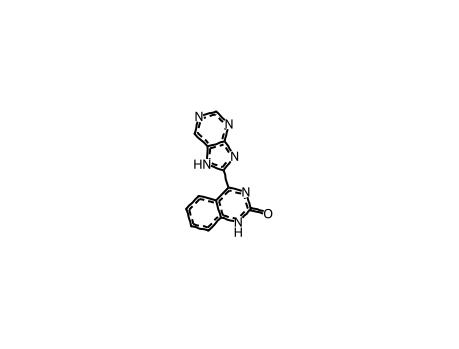 O=c1nc(-c2nc3ncncc3[nH]2)c2ccccc2[nH]1